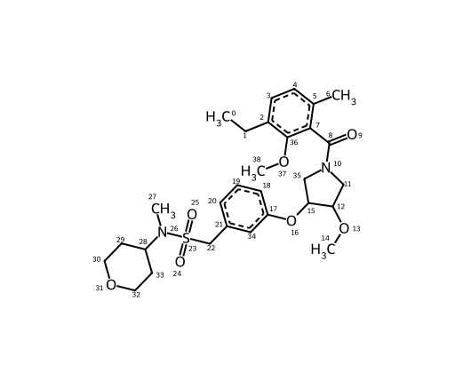 CCc1ccc(C)c(C(=O)N2CC(OC)C(Oc3cccc(CS(=O)(=O)N(C)C4CCOCC4)c3)C2)c1OC